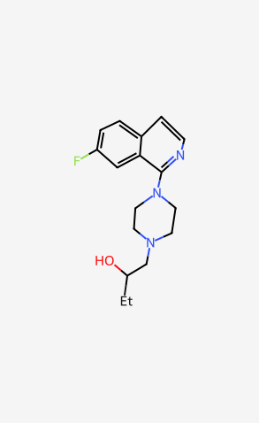 CCC(O)CN1CCN(c2nccc3ccc(F)cc23)CC1